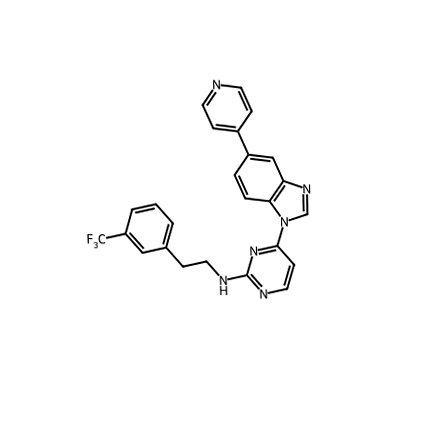 FC(F)(F)c1cccc(CCNc2nccc(-n3cnc4cc(-c5ccncc5)ccc43)n2)c1